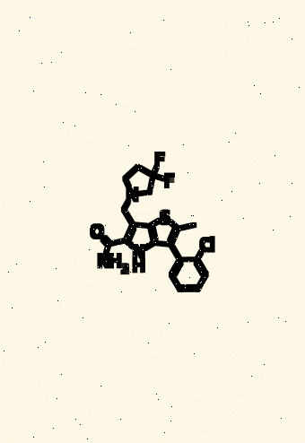 Cc1sc2c(CN3CCC(F)(F)C3)c(C(N)=O)[nH]c2c1-c1ccccc1Cl